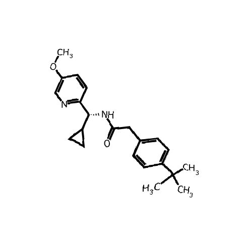 COc1ccc([C@H](NC(=O)Cc2ccc(C(C)(C)C)cc2)C2CC2)nc1